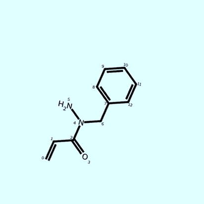 C=CC(=O)N(N)Cc1ccccc1